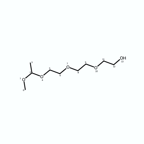 COC(C)OCCOCCOCCO